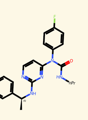 CCCNC(=O)N(c1ccc(F)cc1)c1ccnc(N[C@@H](C)c2ccccc2)n1